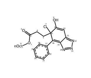 CCCCCCCCOC(=O)CCC1(Cl)C(O)=CC2=NN=NC2=C1c1ccccc1